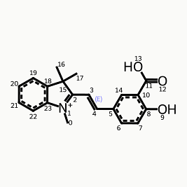 C[N+]1=C(/C=C/c2ccc(O)c(C(=O)O)c2)C(C)(C)c2ccccc21